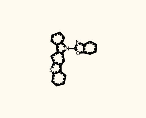 c1ccc2oc(-n3c4ccccc4c4cc5sc6ccccc6c5cc43)nc2c1